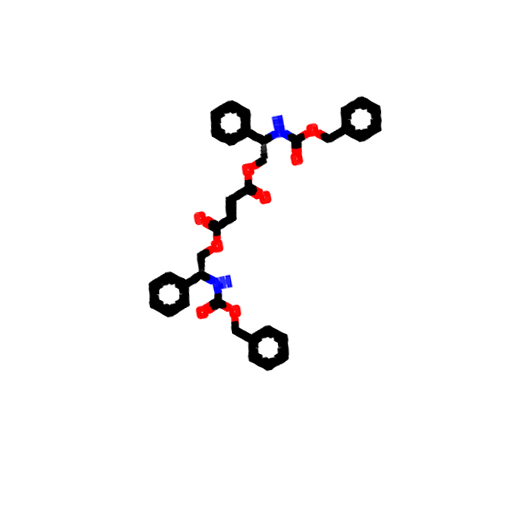 O=C(/C=C/C(=O)OC[C@@H](NC(=O)OCc1ccccc1)c1ccccc1)OC[C@@H](NC(=O)OCc1ccccc1)c1ccccc1